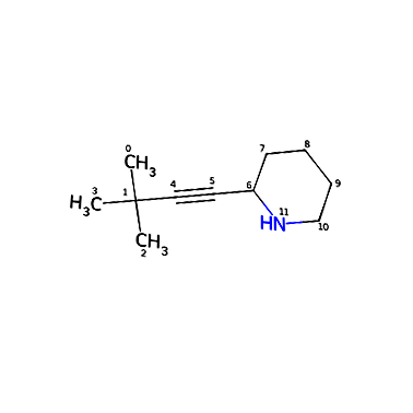 CC(C)(C)C#CC1CCCCN1